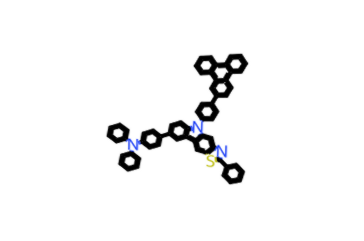 c1ccc(-c2nc3cc4c(cc3s2)c2cc(-c3ccc(N(c5ccccc5)c5ccccc5)cc3)ccc2n4-c2ccc(-c3ccc4c5ccccc5c5ccccc5c4c3)cc2)cc1